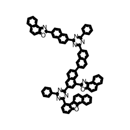 c1ccc(-c2nc(-c3ccc4cc(-c5nc6c(ccc7ccccc76)o5)ccc4c3)nc(-c3ccc4ccc(-c5ccc6cc(-c7nc(-c8ccccc8)nc(-c8cccc9oc%10c%11ccccc%11ccc%10c89)n7)cc(-c7nc8c(ccc9ccccc98)o7)c6c5)cc4c3)n2)cc1